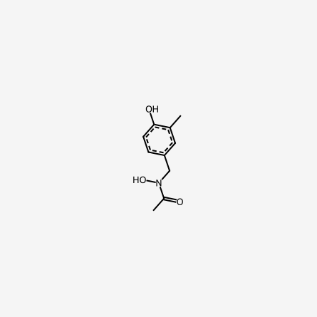 CC(=O)N(O)Cc1ccc(O)c(C)c1